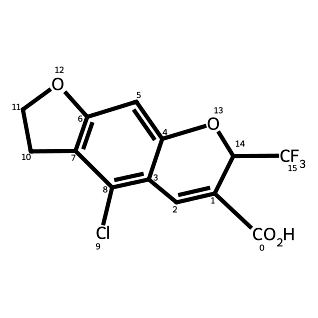 O=C(O)C1=Cc2c(cc3c(c2Cl)CCO3)OC1C(F)(F)F